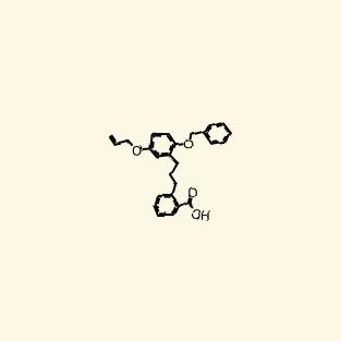 C=CCOc1ccc(OCc2ccccc2)c(CCCc2ccccc2C(=O)O)c1